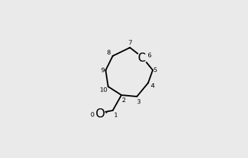 [O]CC1CCCCCCCC1